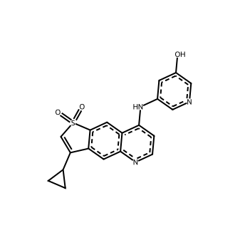 O=S1(=O)C=C(C2CC2)c2cc3nccc(Nc4cncc(O)c4)c3cc21